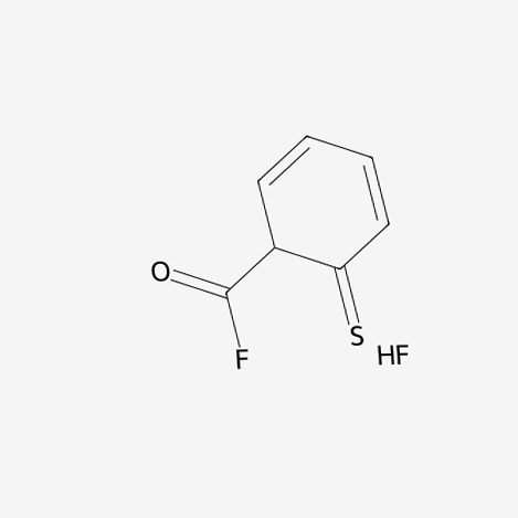 F.O=C(F)C1C=CC=CC1=S